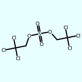 O=S(=O)(OCC(Cl)(Cl)Cl)OCC(Cl)(Cl)Cl